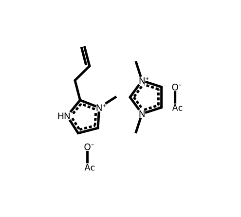 C=CCc1[nH]cc[n+]1C.CC(=O)[O-].CC(=O)[O-].Cn1cc[n+](C)c1